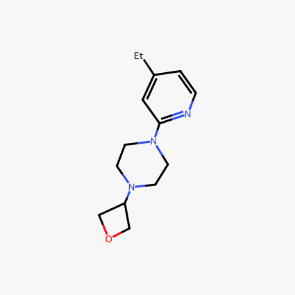 CCc1ccnc(N2CCN(C3COC3)CC2)c1